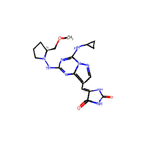 COC[C@@H]1CCCN1Nc1nc(NC2CC2)n2ncc(/C=C3\NC(=O)NC3=O)c2n1